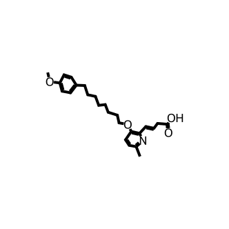 COc1ccc(CCCCCCCCOc2ccc(C)nc2C=CCC(=O)O)cc1